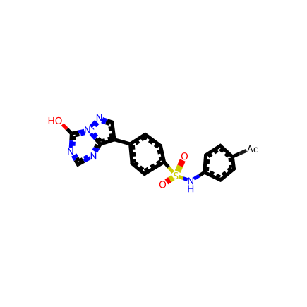 CC(=O)c1ccc(NS(=O)(=O)c2ccc(-c3cnn4c(O)ncnc34)cc2)cc1